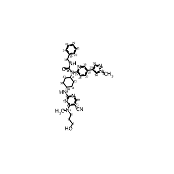 CN(CCCO)c1nc(N[C@H]2CC[C@H](N(C(=O)NCc3ccccc3)c3ccc(-c4cnn(C)c4)cn3)CC2)ncc1C#N